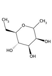 CC[C@H]1OC(C)[C@@H](O)[C@@H](O)[C@@H]1O